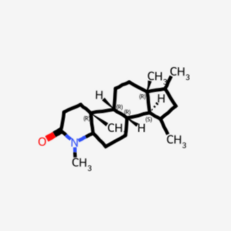 CC1CC(C)[C@@]2(C)CC[C@@H]3[C@@H](CCC4N(C)C(=O)CC[C@@]43C)[C@H]12